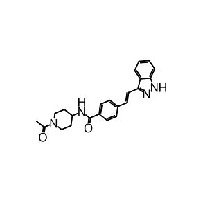 CC(=O)N1CCC(NC(=O)c2ccc(C=Cc3n[nH]c4ccccc34)cc2)CC1